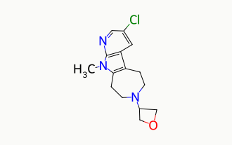 Cn1c2c(c3cc(Cl)cnc31)CCN(C1COC1)CC2